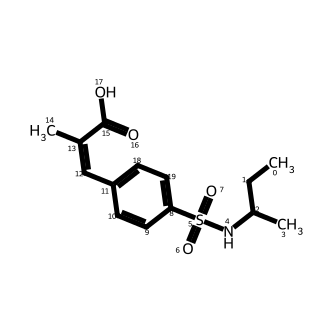 CCC(C)NS(=O)(=O)c1ccc(C=C(C)C(=O)O)cc1